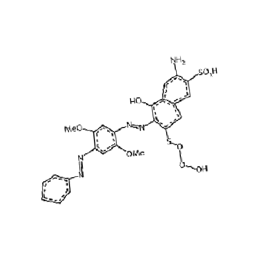 COc1cc(N=Nc2c(SOOO)cc3cc(S(=O)(=O)O)c(N)cc3c2O)c(OC)cc1N=Nc1ccccc1